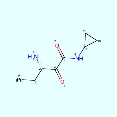 CC(C)C[C@H](N)C(=O)C(=O)NC1CC1